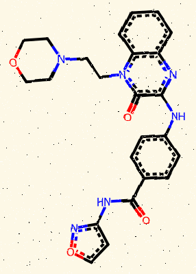 O=C(Nc1ccon1)c1ccc(Nc2nc3ccccc3n(CCN3CCOCC3)c2=O)cc1